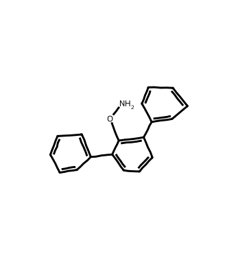 NOc1c(-c2ccccc2)cccc1-c1ccccc1